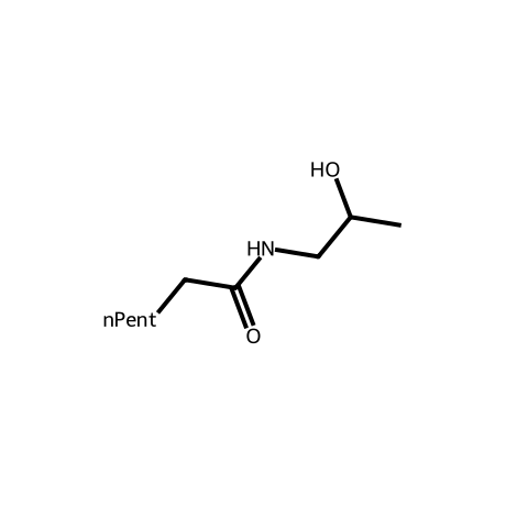 CCCCCCC(=O)NCC(C)O